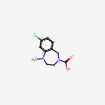 CN1CCN(C(=O)O)Cc2ccc(Cl)cc21